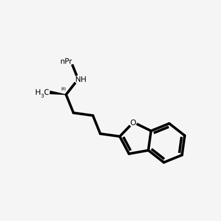 CCCN[C@H](C)CCCc1cc2ccccc2o1